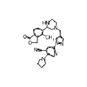 Cc1c(C2CN(Cc3cnn(-c4cc(C#N)c(N5CCCC5)cn4)c3)CCN2)ccc2c1COC2=O